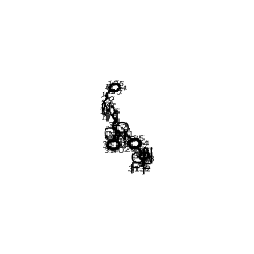 O=S(=O)(CCN1CCN(CC=Cc2ccccc2)CC1)N(Cc1ccc(-c2nnc(C(F)F)o2)cc1)c1ccccc1